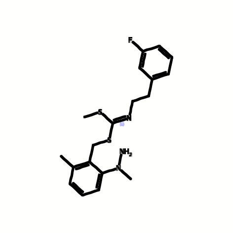 CS/C(=N\CCc1cccc(F)c1)SCc1c(C)cccc1N(C)N